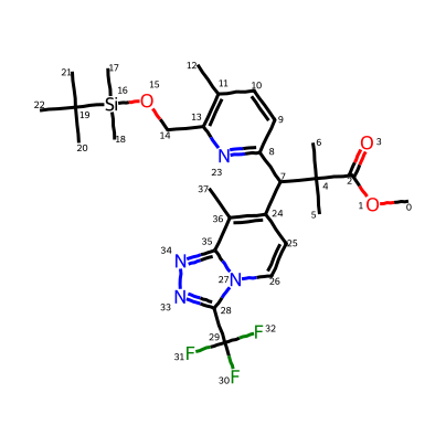 COC(=O)C(C)(C)C(c1ccc(C)c(CO[Si](C)(C)C(C)(C)C)n1)c1ccn2c(C(F)(F)F)nnc2c1C